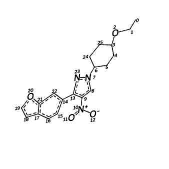 CCOC1CCC(n2cc([N+](=O)[O-])c(-c3ccc4ccoc4c3)n2)CC1